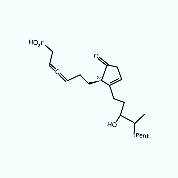 CCCCCC(C)C(O)CCC1=CCC(=O)[C@@H]1CCC=C=CCC(=O)O